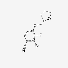 N#Cc1ccc(OCC2CCCO2)c(F)c1Br